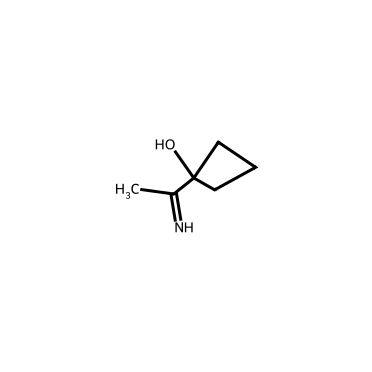 CC(=N)C1(O)CCC1